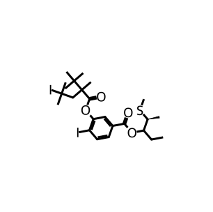 CCC(OC(=O)c1ccc(I)c(OC(=O)C(C)(CC(C)(C)I)C(C)(C)C)c1)[C@H](C)SC